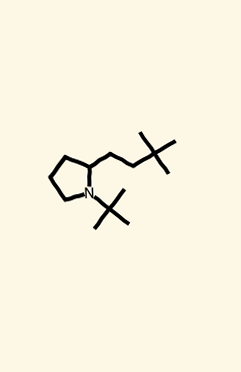 CC(C)(C)CCC1CCCN1C(C)(C)C